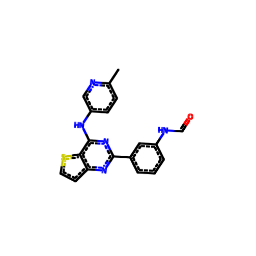 Cc1ccc(Nc2nc(-c3cccc(NC=O)c3)nc3ccsc23)cn1